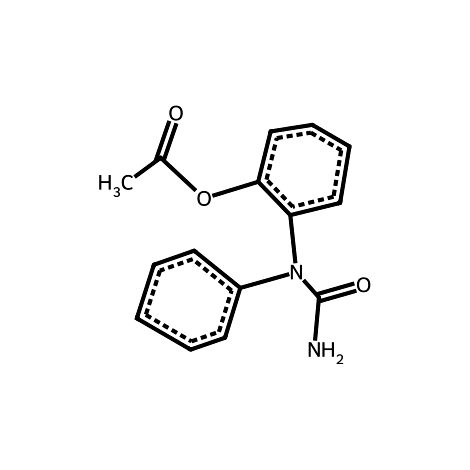 CC(=O)Oc1ccccc1N(C(N)=O)c1ccccc1